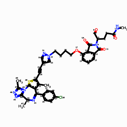 CNC(=O)CCC(C=O)N1C(=O)c2cccc(OCCCCn3cc(C#Cc4sc5c(c4C)C(c4ccc(Cl)cc4)=N[C@@H](C)c4nnc(C)n4-5)cn3)c2C1=O